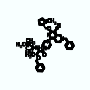 C[C@@H](OCc1ccccc1)[C@H](NC(=O)OC(C)(C)C)C(=O)N1CCN(c2nc(OC[C@@H]3CCCN3C)c(C#N)c3c2CCN(Cc2ccccc2)C3)CC1